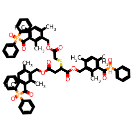 Cc1cc(C)c(C(=O)[PH](=O)c2ccccc2)c(C)c1COC(=O)C(CC(=O)OCc1c(C)cc(C)c(C(=O)P(=O)(c2ccccc2)c2ccccc2)c1C)SCC(=O)OCc1c(C)cc(C)c(C(=O)P(=O)(c2ccccc2)c2ccccc2)c1C